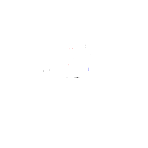 CCOC(=O)[C@@H]1[C@H]2C=CC(C2)N1[C@H](C)c1ccccc1